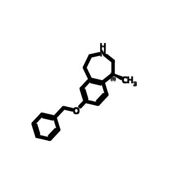 C[C@@H]1CNCCc2cc(OCc3ccccc3)ccc21